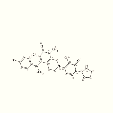 CN(c1ccc(F)cc1C(F)(F)F)c1cc(=O)n(C)c2c1CCN(c1cnn(C3NCCO3)c(=O)c1Cl)C2